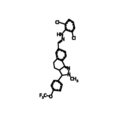 CN1N=C2c3ccc(/C=N/Nc4c(Cl)cccc4Cl)cc3CCC2C1c1ccc(OC(F)(F)F)cc1